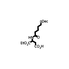 CCCCCCCCCCCCCCC(=O)NC(CC(=O)O)C(=O)OCC